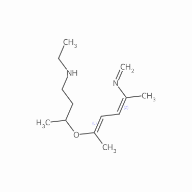 C=N/C(C)=C\C=C(/C)OC(C)CCNCC